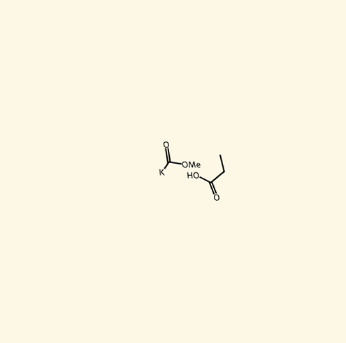 CCC(=O)O.CO[C](=O)[K]